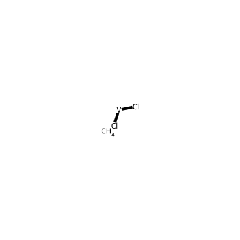 C.[Cl][V][Cl]